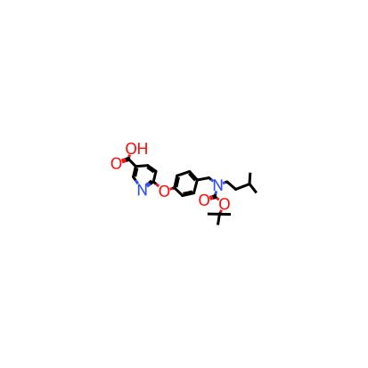 CC(C)CCN(Cc1ccc(Oc2ccc(C(=O)O)cn2)cc1)C(=O)OC(C)(C)C